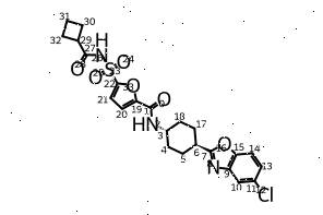 O=C(N[C@H]1CC[C@H](c2nc3cc(Cl)ccc3o2)CC1)c1ccc(S(=O)(=O)NC(=O)C2CCC2)o1